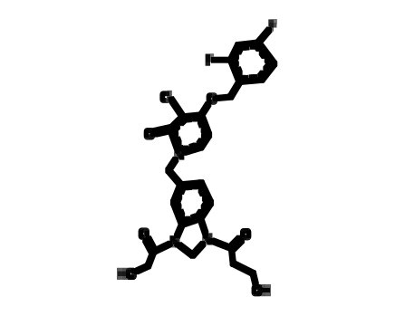 O=C(CO)N1CN(C(=O)CCO)c2ccc(Cn3ccc(OCc4ccc(F)cc4F)c(Cl)c3=O)cc21